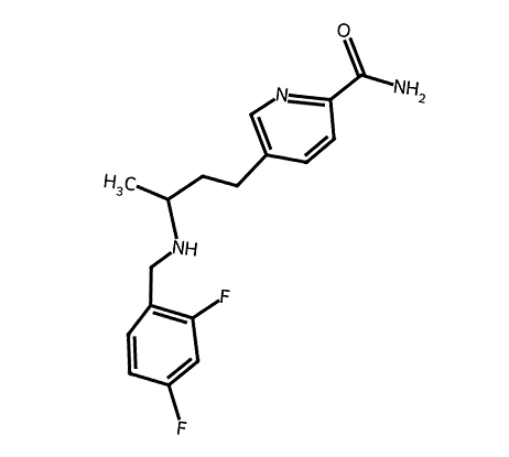 CC(CCc1ccc(C(N)=O)nc1)NCc1ccc(F)cc1F